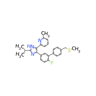 CSCc1ccc(-c2cc(-c3nc(C(C)C)[nH]c3-c3cccc(C)n3)ccc2F)cc1